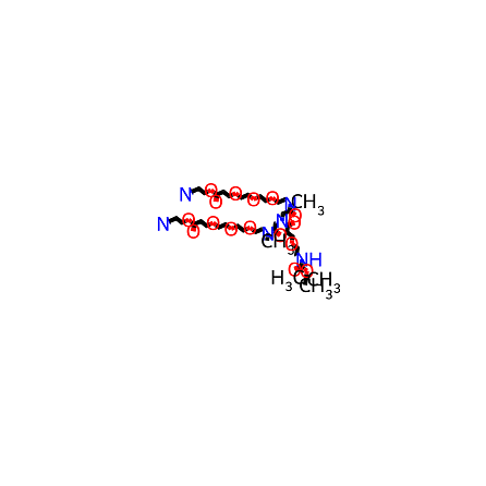 CN(CCOCCOCCOCCC(=O)OCCC#N)C(=O)CN(CC(=O)N(C)CCOCCOCCOCCC(=O)OCCC#N)C(=O)CCOCCNC(=O)OC(C)(C)C